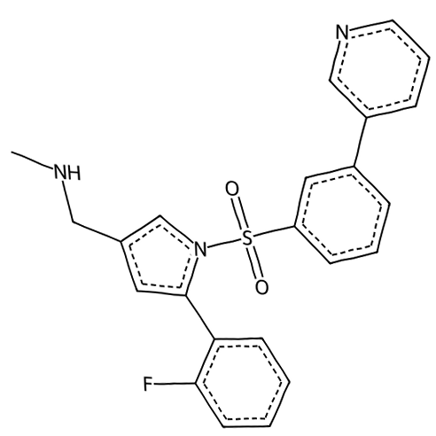 CNCc1cc(-c2ccccc2F)n(S(=O)(=O)c2cccc(-c3cccnc3)c2)c1